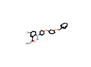 COC(=O)c1cc(Cl)ccc1N(C(C)=O)c1ccc(Oc2cccc(OCc3ccccc3)c2)cc1